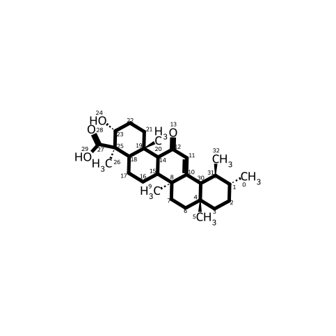 C[C@@H]1CC[C@]2(C)CC[C@]3(C)C(=CC(=O)C4C3CCC3[C@]4(C)CC[C@@H](O)[C@]3(C)C(=O)O)C2[C@H]1C